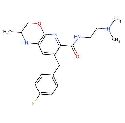 CC1COc2nc(C(=O)NCCN(C)C)c(Cc3ccc(F)cc3)cc2N1